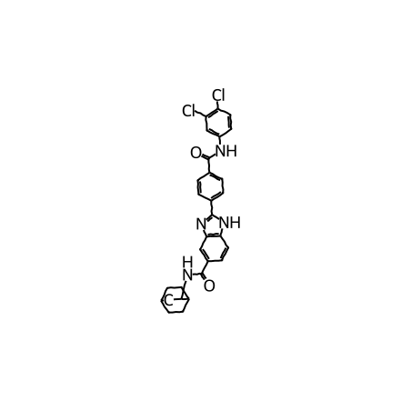 O=C(Nc1ccc(Cl)c(Cl)c1)c1ccc(-c2nc3cc(C(=O)NC4CC5CCC4CC5)ccc3[nH]2)cc1